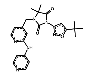 CC(C)(C)c1cc(N2C(=O)N(Cc3ccnc(Nc4ccncc4)c3)C(C)(C)C2=O)no1